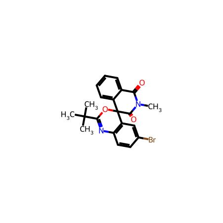 CN1C(=O)c2ccccc2C2(OC(C(C)(C)C)=Nc3ccc(Br)cc32)C1=O